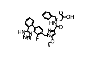 CCOc1cc(C(=O)N[C@@H](CC(=O)O)Cc2ccccc2)nn1Cc1ccc(-c2ccccc2-c2nnn[nH]2)cc1F